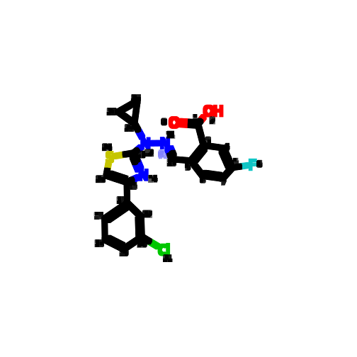 O=C(O)c1cc(F)ccc1/C=N/N(c1nc(-c2cccc(Cl)c2)cs1)C1CC1